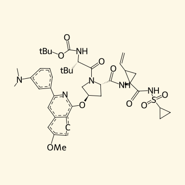 C=CC1C[C@]1(NC(=O)[C@@H]1C[C@@H](Oc2nc(-c3cccc(N(C)C)c3)cc3cc(OC)ccc23)CN1C(=O)[C@@H](NC(=O)OC(C)(C)C)C(C)(C)C)C(=O)NS(=O)(=O)C1CC1